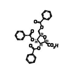 O=C(OC[C@H]1O[C@@H](C(=O)O)[C@H](OC(=O)c2ccccc2)[C@@H]1OC(=O)c1ccccc1)c1ccccc1